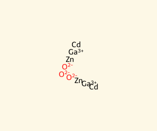 [Cd].[Cd].[Ga+3].[Ga+3].[O-2].[O-2].[O-2].[Zn].[Zn]